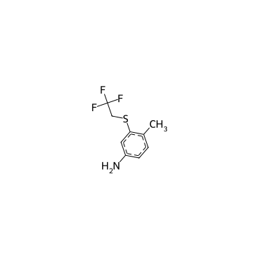 Cc1ccc(N)cc1SCC(F)(F)F